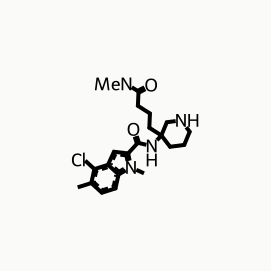 CNC(=O)CCCC1(NC(=O)c2cc3c(Cl)c(C)ccc3n2C)CCCNC1